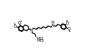 CCCN(CCCCCCCCNCCc1ccc(OC)c(OC)c1)C1CCc2c(ccc(OC)c2OC)C1.Cl.Cl